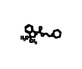 CC1(C)CN(C(=O)OCCN2CCCCC2)c2ccccc21